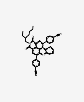 CCCCC(CC)Cn1c(=O)c2cc(-c3ccc(C#N)cc3)c3oc4ccccc4c4c(-c5ccc(C#N)cc5)cc(c1=O)c2c34